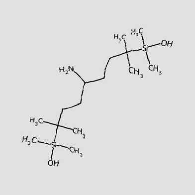 CC(C)(CCC(N)CCC(C)(C)[Si](C)(C)O)[Si](C)(C)O